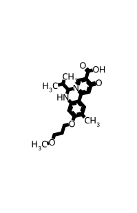 COCCCOc1cc2c(cc1C)-c1cc(=O)c(C(=O)O)cn1C(C(C)C)N2